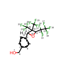 CC1(c2ccc(CO)cc2)OC(C(F)(F)C(F)(F)F)C1(C(F)(F)F)C(F)(F)F